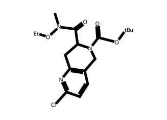 CCON(C)C(=O)C1Cc2nc(Cl)ccc2CN1C(=O)OC(C)(C)C